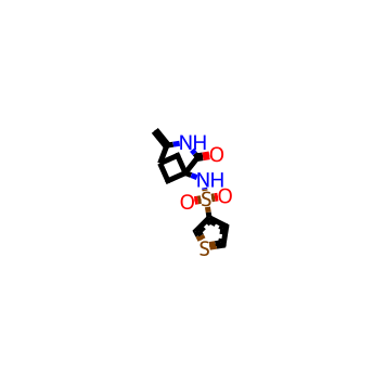 C=C1NC(=O)C2(NS(=O)(=O)c3ccsc3)CC1C2